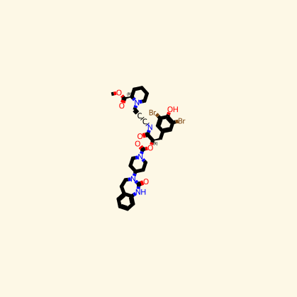 COC(=O)[C@H]1CCCCN1C=C=C=NC(=O)[C@@H](Cc1cc(Br)c(O)c(Br)c1)OC(=O)N1CCC(N2CCc3ccccc3NC2=O)CC1